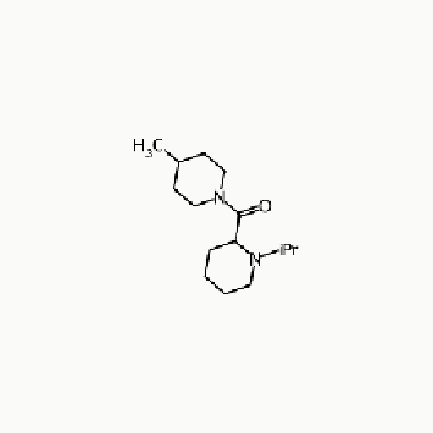 CC1CCN(C(=O)[C@@H]2CCCCN2C(C)C)CC1